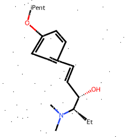 CCCC(C)Oc1ccc(/C=C/[C@H](O)[C@@H](CC)N(C)C)cc1